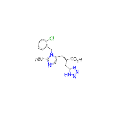 CCCCc1ncc(C=C(Cc2nnn[nH]2)C(=O)O)n1Cc1ccccc1Cl